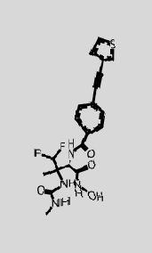 CNC(=O)NC(C)(C(F)F)[C@H](NC(=O)c1ccc(C#Cc2ccsc2)cc1)C(=O)NO